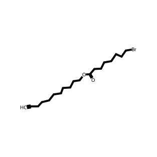 C#CCCCCCCCCCOC(=O)CCCCCCCBr